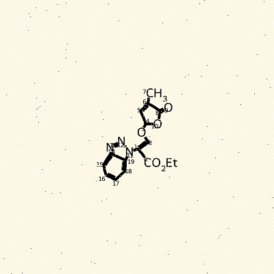 CCOC(=O)/C(=C/OC1C=C(C)C(=O)O1)n1nnc2ccccc21